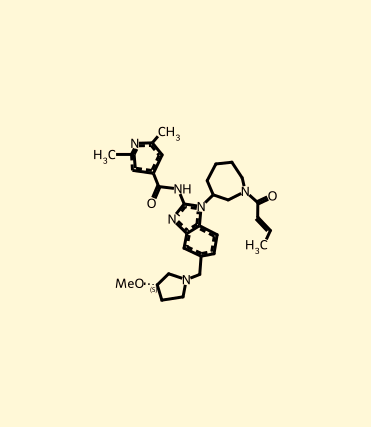 CC=CC(=O)N1CCCCC(n2c(NC(=O)c3cc(C)nc(C)c3)nc3cc(CN4CC[C@H](OC)C4)ccc32)C1